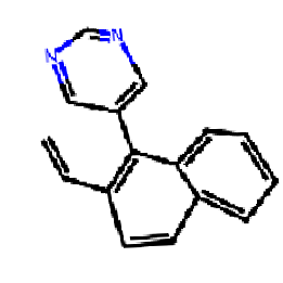 C=Cc1ccc2ccccc2c1-c1cncnc1